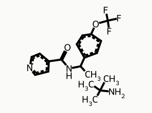 CC(C)(C)N.CC(NC(=O)c1ccncc1)c1ccc(OC(F)(F)F)cc1